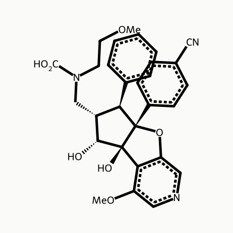 COCCN(C[C@H]1[C@@H](O)[C@@]2(O)c3c(OC)cncc3O[C@@]2(c2ccc(C#N)cc2)[C@@H]1c1ccccc1)C(=O)O